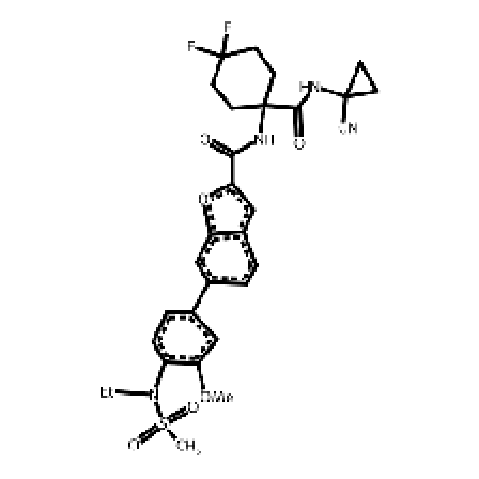 CCN(c1ccc(-c2ccc3cc(C(=O)NC4(C(=O)NC5(C#N)CC5)CCC(F)(F)CC4)oc3c2)cc1OC)S(C)(=O)=O